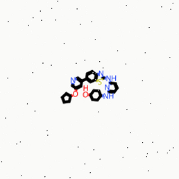 OC1CCC(Nc2cccc(Nc3nc4ccc(-c5cncc(OC6CCCC6)c5)cc4s3)n2)CC1